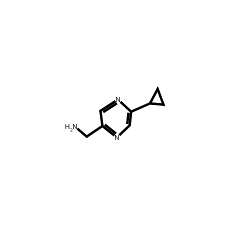 NCc1cnc(C2CC2)cn1